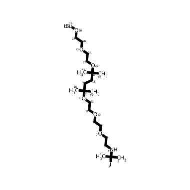 CC(C)(I)NCCOCCOCCOC(C)(C)CCC(C)(C)OCCOCCOC(C)(C)C